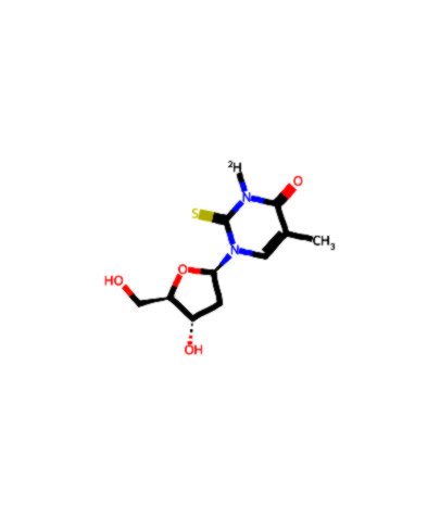 [2H]n1c(=O)c(C)cn([C@H]2C[C@H](O)[C@@H](CO)O2)c1=S